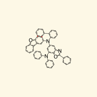 c1ccc(-c2nc3cc(N(c4ccc5oc6ccccc6c5c4)c4ccccc4-c4ccccc4)cc(N(c4ccccc4)c4ccccc4)c3o2)cc1